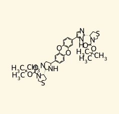 CC(C)(C)OC(=O)N1CSC[C@H]1C1=NCC(c2ccc3c(c2)Oc2ccc(-c4cnc([C@@H]5CSCN5C(=O)OC(C)(C)C)[nH]4)cc2O3)N1